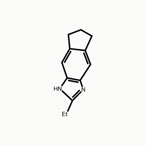 CCc1nc2cc3c(cc2[nH]1)CCC3